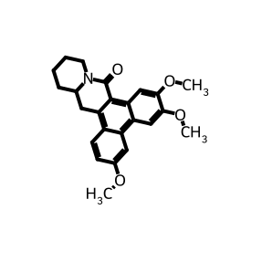 COc1ccc2c3c(c4cc(OC)c(OC)cc4c2c1)C(=O)N1CCCCC1C3